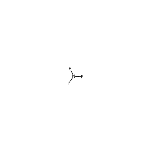 FN(F)I